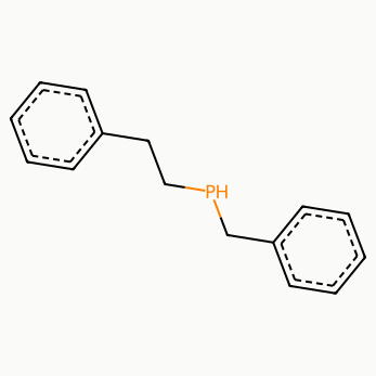 c1ccc(CCPCc2ccccc2)cc1